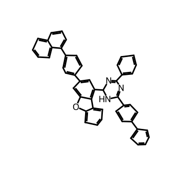 c1ccc(C2=NC(c3cc(-c4ccc(-c5cccc6ccccc56)cc4)cc4oc5ccccc5c34)NC(c3ccc(-c4ccccc4)cc3)=N2)cc1